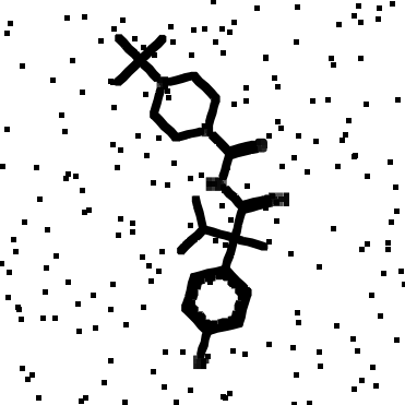 CC(C)C(C)(C(=N)NC(=O)N1CCN(C(C)(C)C)CC1)c1ccc(Br)cc1